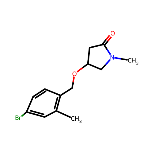 Cc1cc(Br)ccc1COC1CC(=O)N(C)C1